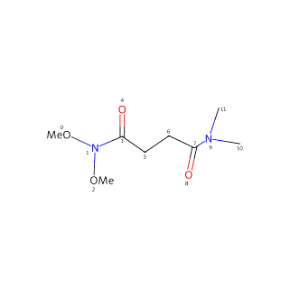 CON(OC)C(=O)CCC(=O)N(C)C